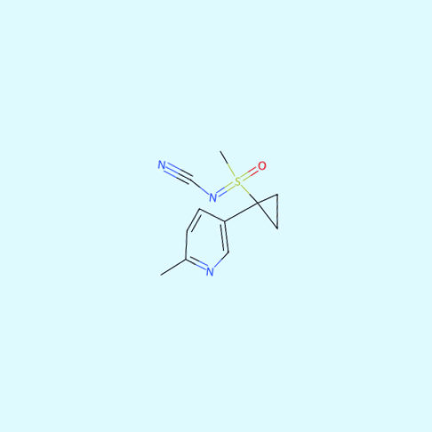 Cc1ccc(C2(S(C)(=O)=NC#N)CC2)cn1